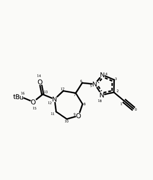 C#Cc1cnn(CC2COCCN(C(=O)OC(C)(C)C)C2)n1